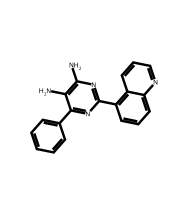 Nc1nc(-c2cccc3ncccc23)nc(-c2ccccc2)c1N